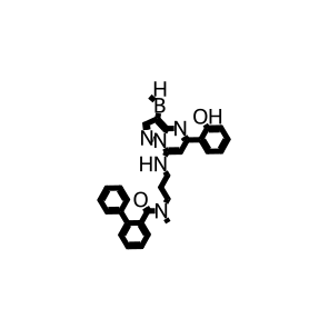 CBc1cnn2c(NCCCN(C)C(=O)c3ccccc3-c3ccccc3)cc(-c3ccccc3O)nc12